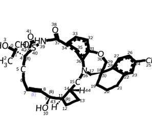 CC(C)(O)[C@H]1CC/C=C/[C@H](O)[C@@H]2CC[C@H]2CN2C[C@@]3(CCCc4cc(Cl)ccc43)COc3ccc(cc32)C(=O)NS1(=O)=O